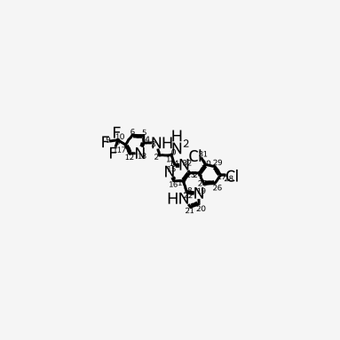 NC(CNc1ccc(C(F)(F)F)cn1)c1ncc(-c2ncc[nH]2)c(-c2ccc(Cl)cc2Cl)n1